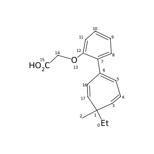 CCC1(C)C=CC=C(c2ccccc2OCC(=O)O)C=C1